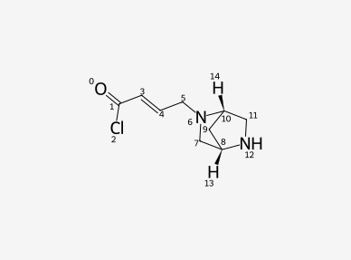 O=C(Cl)/C=C/CN1C[C@@H]2C[C@H]1CN2